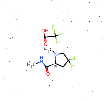 CNC(=O)[C@@H]1CC(F)(F)CN1C.O=C(O)C(F)(F)F